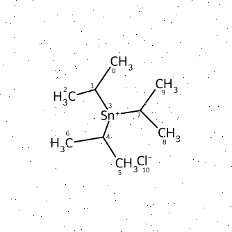 C[CH](C)[Sn+]([CH](C)C)[CH](C)C.[Cl-]